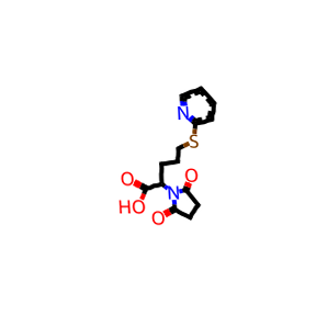 O=C(O)C(CCCSc1ccccn1)N1C(=O)CCC1=O